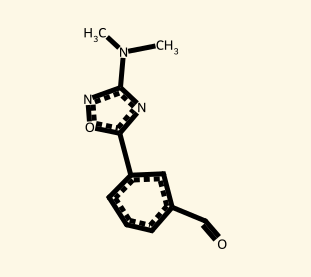 CN(C)c1noc(-c2cccc(C=O)c2)n1